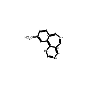 O=C(O)c1ccc2c(c1)=C1NC=NC=C1C=NC=2